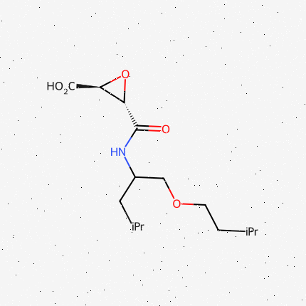 CC(C)CCOCC(CC(C)C)NC(=O)[C@H]1O[C@@H]1C(=O)O